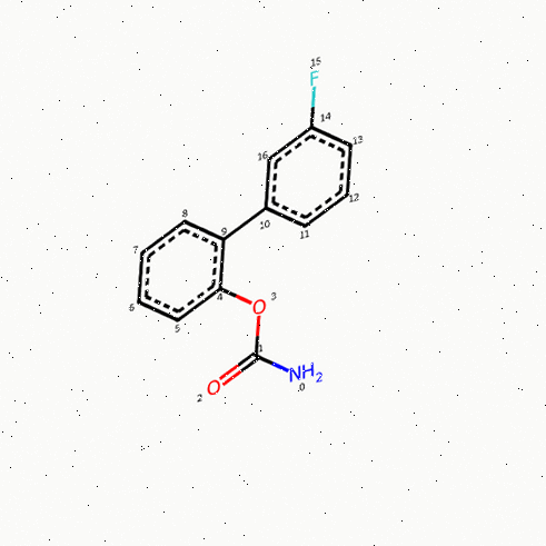 NC(=O)Oc1ccccc1-c1cccc(F)c1